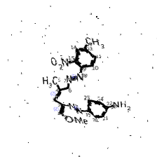 CO/C=C(/C=C(/C)C/N=N/c1ccc(C)cc1[N+](=O)[O-])\N=N\c1ccc(N)cc1